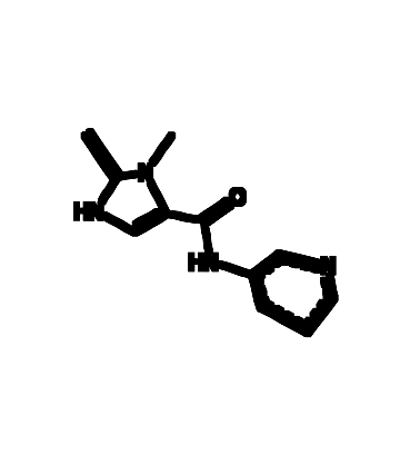 C=C1NC=C(C(=O)Nc2cccnc2)N1C